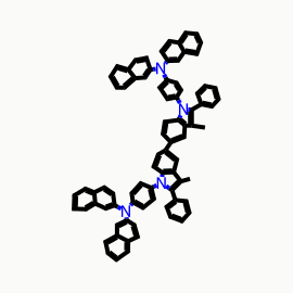 Cc1c(-c2ccccc2)n(-c2ccc(N(c3ccc4ccccc4c3)c3ccc4ccccc4c3)cc2)c2ccc(-c3ccc4c(c3)c(C)c(-c3ccccc3)n4-c3ccc(N(c4ccc5ccccc5c4)c4ccc5ccccc5c4)cc3)cc12